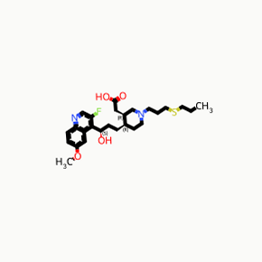 CCCSCCCN1CC[C@@H](CC[C@H](O)c2c(F)cnc3ccc(OC)cc23)[C@@H](CC(=O)O)C1